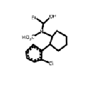 CCC(O)N(C(=O)O)C1CCCCC1c1ccccc1Cl